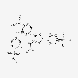 CCS(=O)(=O)c1ccc(Cc2cc(N3CC(c4ccc(C(F)(F)F)cc4)C[C@H]3COC)ccc2C(N)=O)cc1